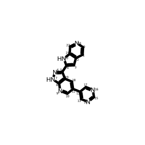 c1cc2cc(-c3n[nH]c4ncc(-c5cncnc5)cc34)[nH]c2cn1